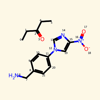 CCC(=O)CC.NCc1ccc(-n2cnc([N+](=O)[O-])c2)cc1